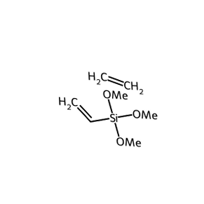 C=C.C=C[Si](OC)(OC)OC